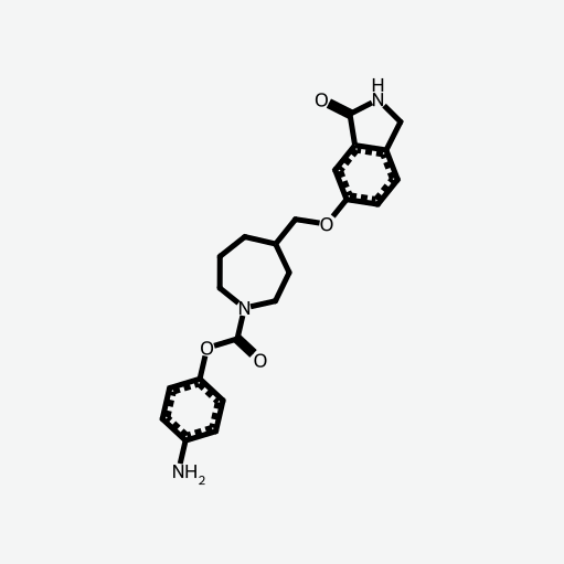 Nc1ccc(OC(=O)N2CCCC(COc3ccc4c(c3)C(=O)NC4)CC2)cc1